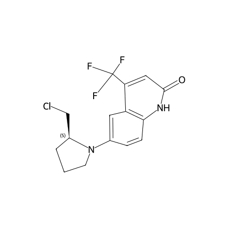 O=c1cc(C(F)(F)F)c2cc(N3CCC[C@H]3CCl)ccc2[nH]1